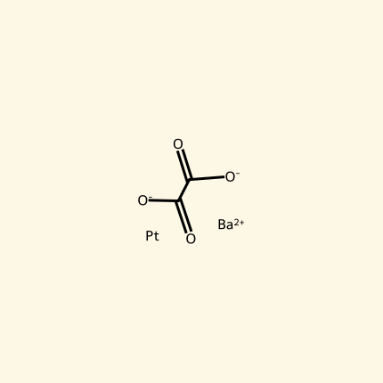 O=C([O-])C(=O)[O-].[Ba+2].[Pt]